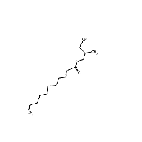 CCCCCCCCCCC(=O)OCC(C)CO